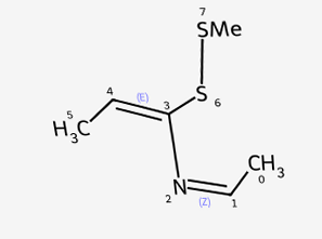 C/C=N\C(=C/C)SSC